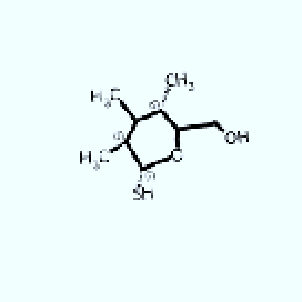 CC1[C@H](C)C(CO)O[C@H](S)[C@H]1C